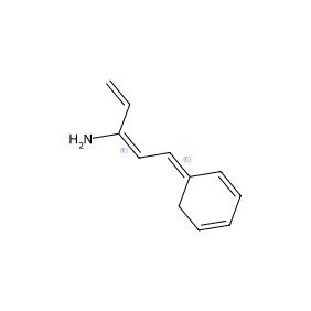 C=C/C(N)=C\C=C1\C=CC=CC1